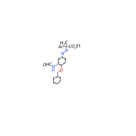 CCOC(=O)C(C)(N=Nc1ccc(OCc2ccccc2)c(NC=O)c1)C(C)=O